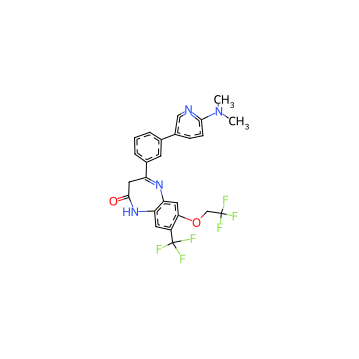 CN(C)c1ccc(-c2cccc(C3=Nc4cc(OCC(F)(F)F)c(C(F)(F)F)cc4NC(=O)C3)c2)cn1